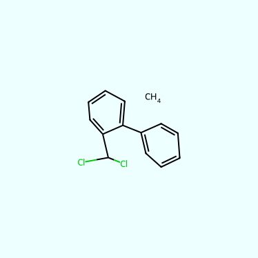 C.ClC(Cl)c1ccccc1-c1ccccc1